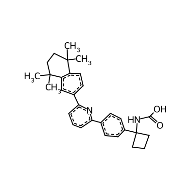 CC1(C)CCC(C)(C)c2cc(-c3cccc(-c4ccc(C5(NC(=O)O)CCC5)cc4)n3)ccc21